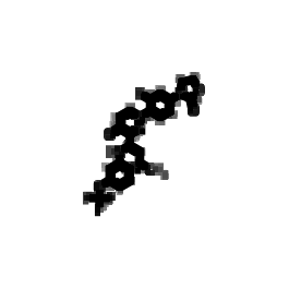 CC(=N)/C=C(\Nc1cccc(OC(F)(F)F)c1)c1nn(-c2ccc(N3CCOC3=O)cc2F)ccc1=O